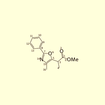 COC(=O)C(C)c1oc(-c2ccccc2)nc1C